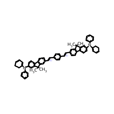 CC1(C)c2cc(/C=C/c3ccc(/C=C/c4ccc5c(c4)C(C)(C)c4cc(N(C6=CC=CCC6)c6ccccc6)ccc4-5)cc3)ccc2-c2ccc(N(C3=CC=CCC3)c3ccccc3)cc21